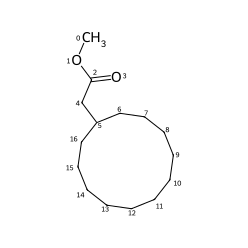 COC(=O)CC1CCCCCCCCCCC1